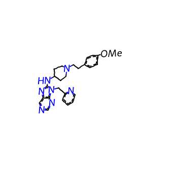 COc1ccc(CCN2CCC(Nc3nc4cncnc4n3Cc3ccccn3)CC2)cc1